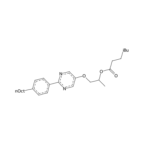 CCCCCCCCc1ccc(-c2ncc(OCC(C)OC(=O)CCC(C)CC)cn2)cc1